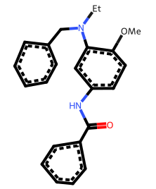 CCN(Cc1ccccc1)c1cc(NC(=O)c2ccccc2)ccc1OC